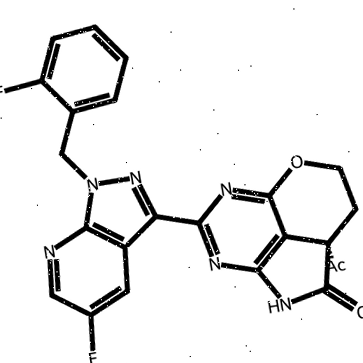 CC(=O)[C@@]12CCOc3nc(-c4nn(Cc5ccccc5F)c5ncc(F)cc45)nc(c31)NC2=O